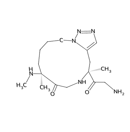 CN[C@@]1(C)CCCCn2nncc2C[C@@](C)(C(=O)CN)NCC1=O